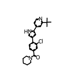 CC(C)(C)c1cc(-c2cc(-c3ccc(C(=O)N4CCCCC4)cc3Cl)c[nH]2)ccn1